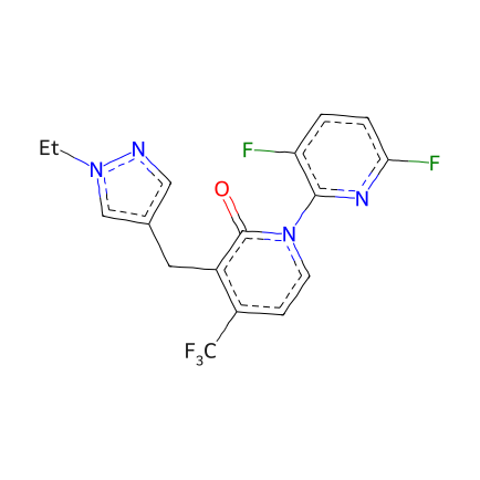 CCn1cc(Cc2c(C(F)(F)F)ccn(-c3nc(F)ccc3F)c2=O)cn1